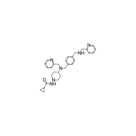 O=C(NN1CCC(N(Cc2ccc(CNCc3ccccn3)cc2)Cc2ccccn2)CC1)C1CC1